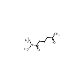 CC(=O)CCCC(=O)N(C)N